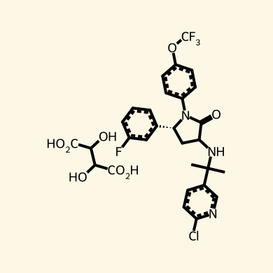 CC(C)(NC1C[C@H](c2cccc(F)c2)N(c2ccc(OC(F)(F)F)cc2)C1=O)c1ccc(Cl)nc1.O=C(O)C(O)C(O)C(=O)O